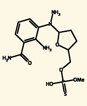 COP(O)(=S)OCC1CCC(N(N)c2cccc(C(N)=O)c2N)O1